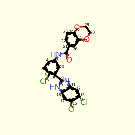 O=C(Nc1ccc(Cl)c(-c2nc3cc(Cl)c(Cl)cc3[nH]2)c1)c1ccc2c(c1)OCCO2